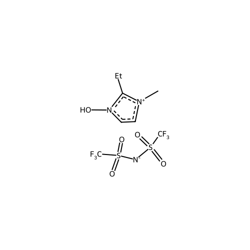 CCc1n(O)cc[n+]1C.O=S(=O)([N-]S(=O)(=O)C(F)(F)F)C(F)(F)F